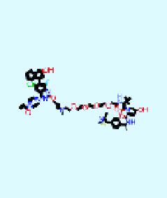 C=CC(=O)N1CCN(c2nc(OCCCN(C)CCOCCOCCOCCOCC(=O)N[C@H](C(=O)N3C[C@H](O)C[C@H]3C(=O)N[C@@H](C)c3ccc(-c4scnc4C)cc3)C(C)(C)C)nc3c(F)c(-c4cc(O)cc5ccccc45)c(Cl)cc23)CC1